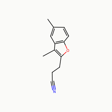 Cc1ccc2oc(CCC#N)c(C)c2c1